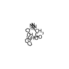 CC(=O)O.CCn1nnnc1-c1cccc(OCc2ccc3ccccc3n2)c1